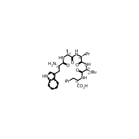 CC[C@H](C)[C@H](NC(=O)[C@@H](NC(=O)[C@H](C)NC(=O)[C@@H](N)Cc1c[nH]c2ccccc12)C(C)C)C(=O)N[C@@H](CC(C)C)C(=O)O